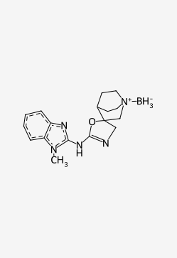 [BH3-][N+]12CCC(CC1)C1(CN=C(Nc3nc4ccccc4n3C)O1)C2